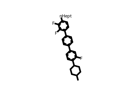 CCCCCCCc1ccc(-c2ccc(-c3ccc(C4CCC(C)CC4)c(F)c3)cc2)c(F)c1F